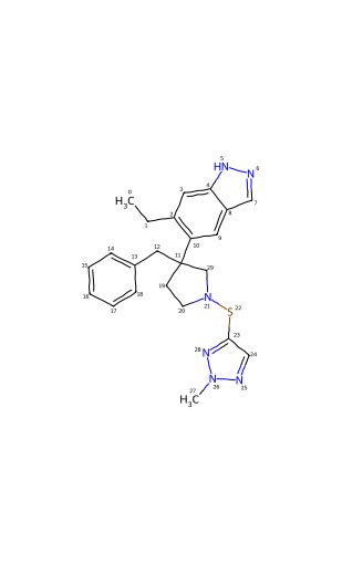 CCc1cc2[nH]ncc2cc1C1(Cc2ccccc2)CCN(Sc2cnn(C)n2)C1